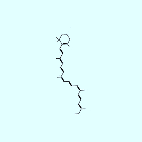 CC1=C(/C=C/C(C)=C/C=C/C(C)=C\C=C\C=C(C)/C=C/C=C(\C)CO)C(C)(C)C[C@H](O)C1